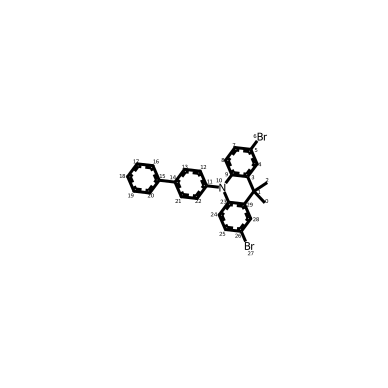 CC1(C)c2cc(Br)ccc2N(c2ccc(-c3ccccc3)cc2)c2ccc(Br)cc21